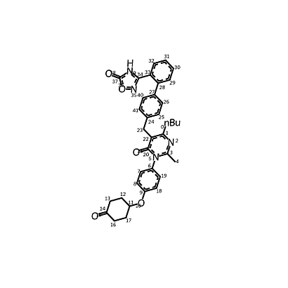 CCCCc1nc(C)n(-c2ccc(OC3CCC(=O)CC3)cc2)c(=O)c1Cc1ccc(-c2ccccc2-c2noc(=O)[nH]2)cc1